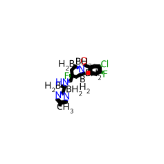 BC(B)(NCC1(F)CC(B)(B)N(C(=O)c2ccc(F)c(Cl)c2)C(B)(B)C1)c1ncc(C)cn1